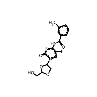 Cc1cccc(C(=O)Nc2nc(=O)n(C3COC(CO)O3)cc2F)c1